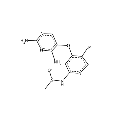 CC(C)c1cnc(N[S+](C)[O-])cc1Oc1cnc(N)nc1N